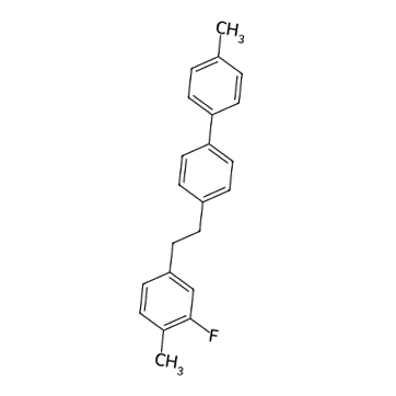 Cc1ccc(-c2ccc(CCc3ccc(C)c(F)c3)cc2)cc1